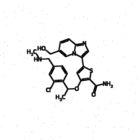 CNCc1ccc(C(C)Oc2cc(-c3cnc4ccc(CO)cn34)sc2C(N)=O)c(Cl)c1